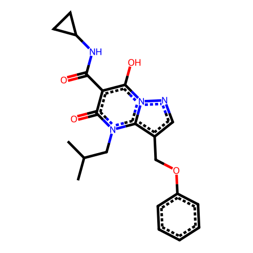 CC(C)Cn1c(=O)c(C(=O)NC2CC2)c(O)n2ncc(COc3ccccc3)c12